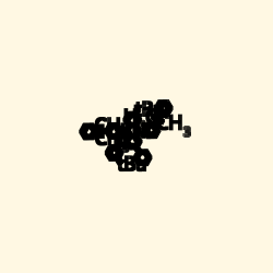 CC(C)(C)C1=CC2C(C=C1)B1C3=CC=C(C(C)(C)C4CC=CCC4)CC3N(c3cccc(C(C)(C)C)c3)C3C=C(C4CCCCC4)C=C(C13)N2c1cccc(C(C)(C)c2ccccc2)c1